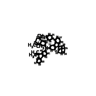 CC1(C)CCC(C)(C)c2cc(N(c3ccc4c(c3)-c3c(-c5ccccc5)cccc3C43C4CC5CC6CC3C64C5)c3ccc4c(c3)C(C)(C)c3ccccc3-4)ccc21